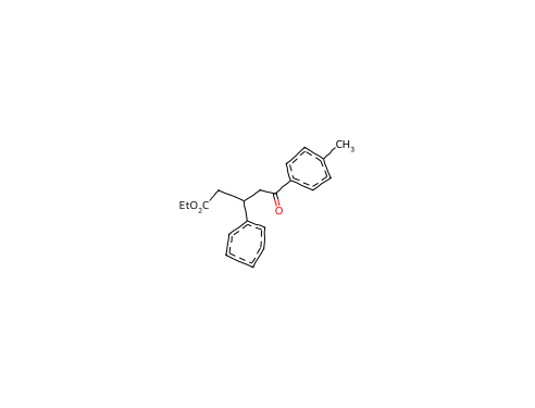 CCOC(=O)CC(CC(=O)c1ccc(C)cc1)c1ccccc1